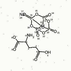 NC(CCC(=O)O)C(=O)[O-].O=P12OP3(=O)OP(=O)(O1)OP(=O)(O2)O3.[Na+]